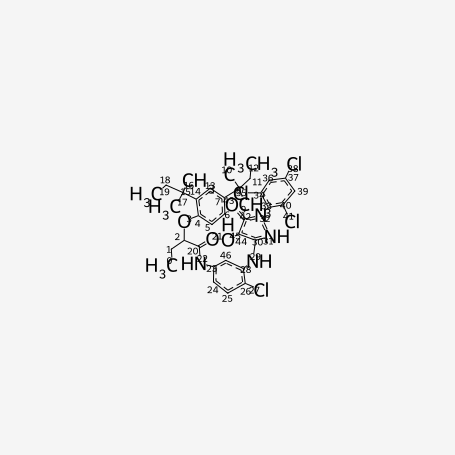 CCC(Oc1ccc(C(C)(C)CC)cc1C(C)(C)CC)C(=O)Nc1ccc(Cl)c(Nc2[nH]n(-c3c(Cl)cc(Cl)cc3Cl)c(=O)c2O)c1